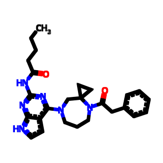 CCCCC(=O)Nc1nc(N2CCCN(C(=O)Cc3ccccc3)C3(CC3)C2)c2cc[nH]c2n1